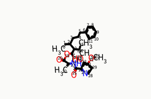 CCC(CCCc1ccccc1)C(C(C)C)C(C)OC(=O)C(C)NC(=O)c1nccc(OC)c1O